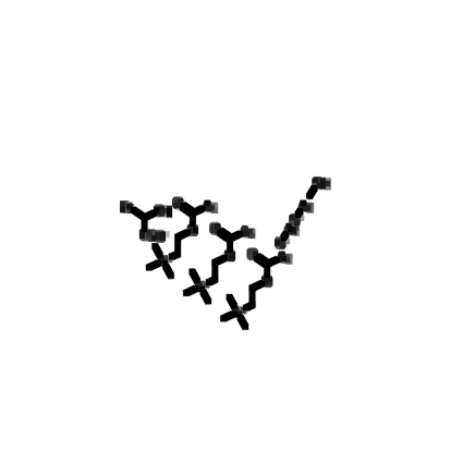 CC(=O)C(=O)OCC[N+](C)(C)C.CC(=O)C(=O)OCC[N+](C)(C)C.CC(=O)C(=O)OCC[N+](C)(C)C.CC(=O)[O-].CC(=O)[O-].CCC(O)C(=O)[O-].CO